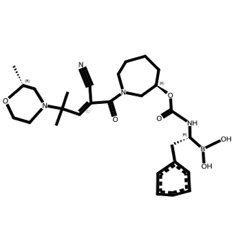 C[C@@H]1CN(C(C)(C)/C=C(\C#N)C(=O)N2CCCC[C@@H](OC(=O)N[C@@H](Cc3ccccc3)B(O)O)C2)CCO1